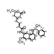 COc1cc2ncnc(N[C@H](C)c3ccccc3)c2cc1NC(=O)C=CCN1CC(=O)O[C@@H](C)C1